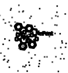 CCCCCN(Cc1ccc(-c2ccccc2S(=O)(=O)NC(=O)c2ccccc2Cl)cc1)C(=O)Oc1ccccc1C(F)(F)F